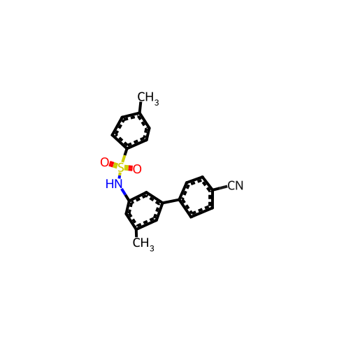 Cc1ccc(S(=O)(=O)Nc2cc(C)cc(-c3ccc(C#N)cc3)c2)cc1